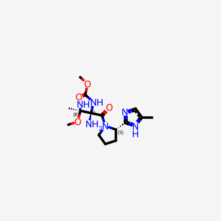 COC(=O)N[C@](N)(C(=O)N1CCC[C@H]1c1ncc(C)[nH]1)[C@](C)(N)OC